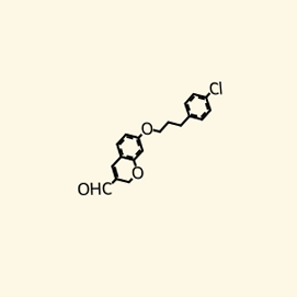 O=CC1=Cc2ccc(OCCCc3ccc(Cl)cc3)cc2OC1